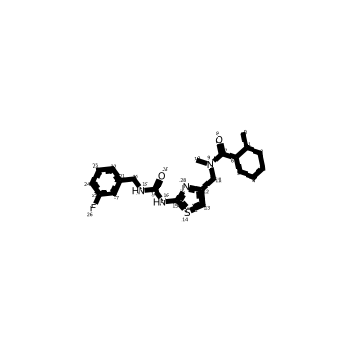 CC1CCCCC1C(=O)N(C)Cc1csc(NC(=O)NCc2cccc(F)c2)n1